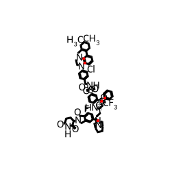 CC1(C)CCC(c2ccc(Cl)cc2)=C(CN2CCN(c3ccc(C(=O)NS(=O)(=O)c4ccc(N[C@H](CCN5CC6CCC(C5)N6Cc5cc(F)c6c(c5)CN(C5CCC(=O)NC5=O)C6=O)CSc5ccccc5)c(S(=O)(=O)C(F)(F)F)c4)cc3)CC2)C1